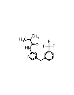 CC(C)C(=O)Nc1ncc(Cc2cccc(C(F)(F)F)c2)s1